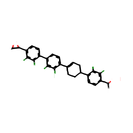 CCC(O)c1ccc(C2CC=C(c3ccc(-c4ccc(C5CO5)c(F)c4F)c(F)c3F)CC2)c(F)c1F